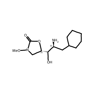 CON1C[C@@H](C(O)[C@@H](N)CC2CCCCC2)OC1=O